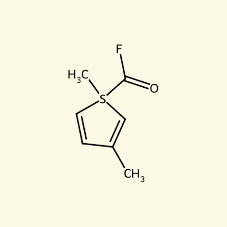 CC1=CS(C)(C(=O)F)C=C1